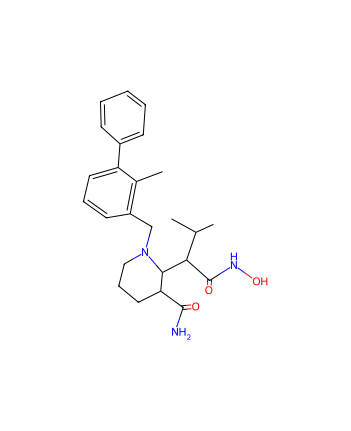 Cc1c(CN2CCCC(C(N)=O)C2C(C(=O)NO)C(C)C)cccc1-c1ccccc1